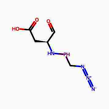 [N-]=[N+]=NCPN[C@H](C=O)CC(=O)O